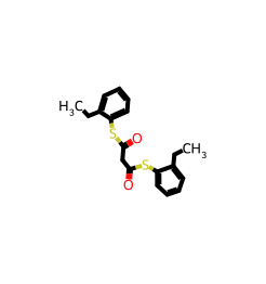 CCc1ccccc1SC(=O)CC(=O)Sc1ccccc1CC